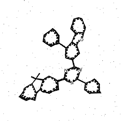 CC1(C)c2ccccc2-c2ccc(-c3nc(-c4ccccc4)nc(-c4cc(-c5ccccc5)c5c(c4)oc4ccccc45)n3)cc21